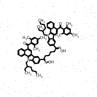 CCCCC(CC)Cn1c2ccc(/C(CCCC/C(=N\O)c3ccc4c(c3)c3cc(C(=O)c5c(C)cc(C)cc5C)c5ccccc5c3n4CC(CC)CCCC)=N/O)cc2c2cc(C(=O)c3c(C)cc(C)cc3C)c3ccccc3c21